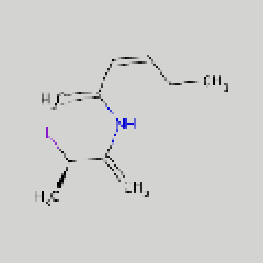 C=C(/C=C\CC)NC(=C)[C@@H](C)I